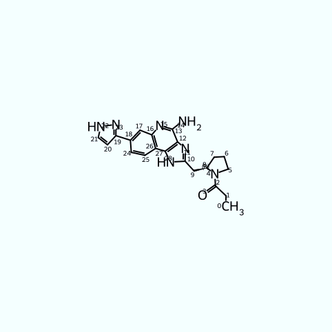 CCC(=O)N1CCC[C@@H]1Cc1nc2c(N)nc3cc(-c4cc[nH]n4)ccc3c2[nH]1